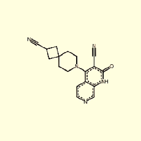 N#Cc1c(N2CCC3(CC2)CC(C#N)C3)c2ccncc2[nH]c1=O